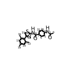 CC(=O)Nc1ccc(C(=O)Nc2nc(-c3c(C)cc(C)cc3C)cs2)cc1